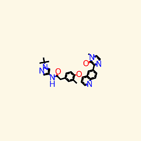 Cc1cc(CC(=O)Nc2cnn(C(C)(C)C)c2)ccc1Oc1ccnc2ccc(-c3nccn(C)c3=O)cc12